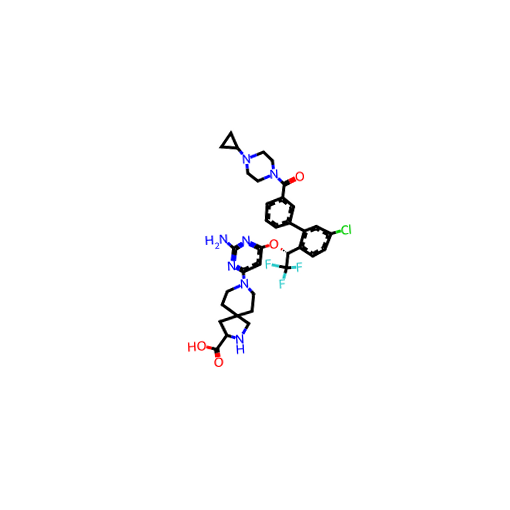 Nc1nc(O[C@H](c2ccc(Cl)cc2-c2cccc(C(=O)N3CCN(C4CC4)CC3)c2)C(F)(F)F)cc(N2CCC3(CC2)CNC(C(=O)O)C3)n1